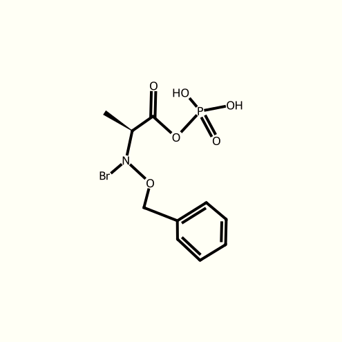 C[C@@H](C(=O)OP(=O)(O)O)N(Br)OCc1ccccc1